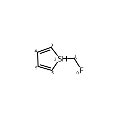 F[CH][SH]1C=CC=C1